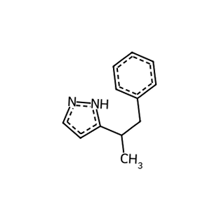 CC(Cc1ccccc1)c1ccn[nH]1